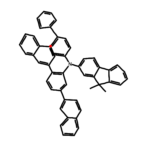 CC1(C)c2ccccc2-c2ccc(N(c3ccc(-c4ccccc4)cc3)c3cc(-c4ccc5ccccc5c4)ccc3-c3ccc4ccccc4c3)cc21